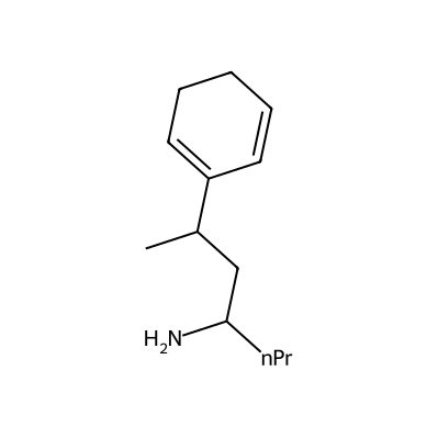 CCCC(N)CC(C)C1=CCCC=C1